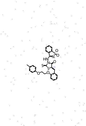 Cc1ccc(OCCOc2ccccc2/C=C2\SC(=S)N(NC3=NS(=O)(=O)c4ccccc43)C2=O)cc1